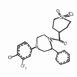 O=C(C1CCS(=O)(=O)CC1)N1CCN(c2ccc(Cl)c(C(F)(F)F)c2)CC1c1ccccc1